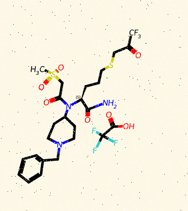 CS(=O)(=O)CC(=O)N(C1CCN(Cc2ccccc2)CC1)[C@@H](CCCSCC(=O)C(F)(F)F)C(N)=O.O=C(O)C(F)(F)F